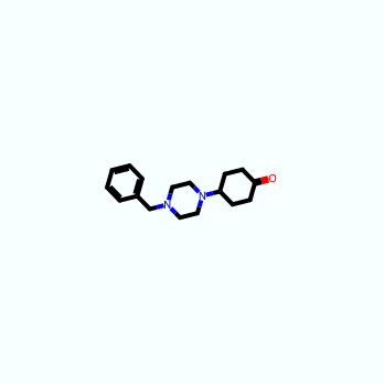 O=C1CCC(N2CCN(Cc3ccccc3)CC2)CC1